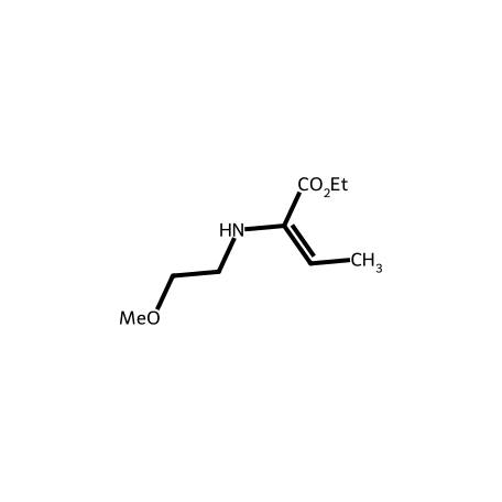 CC=C(NCCOC)C(=O)OCC